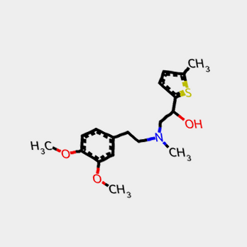 COc1ccc(CCN(C)CC(O)c2ccc(C)s2)cc1OC